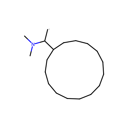 [CH2]C(C1CCCCCCCCCCCCCC1)N(C)C